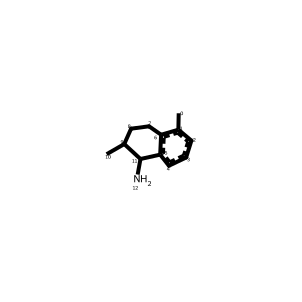 Cc1cccc2c1CCC(C)C2N